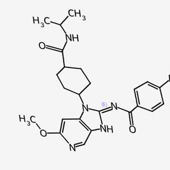 COc1cc2c(cn1)[nH]/c(=N\C(=O)c1ccc(F)cc1)n2C1CCC(C(=O)NC(C)C)CC1